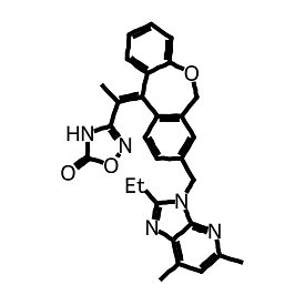 CCc1nc2c(C)cc(C)nc2n1Cc1ccc2c(c1)COc1ccccc1C2=C(C)c1noc(=O)[nH]1